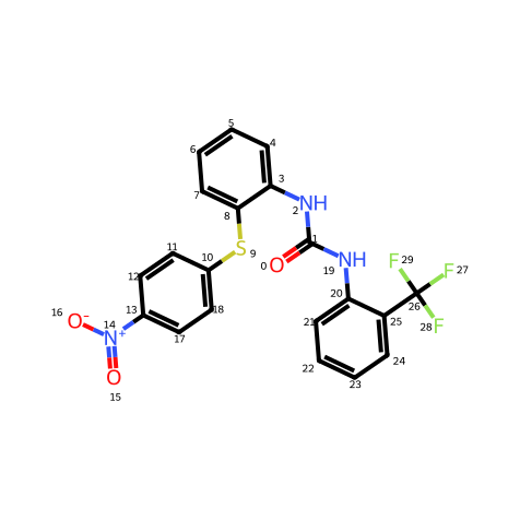 O=C(Nc1ccccc1Sc1ccc([N+](=O)[O-])cc1)Nc1ccccc1C(F)(F)F